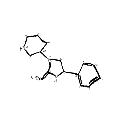 O=C1NC(c2ccccc2)CN1C1CCCNC1